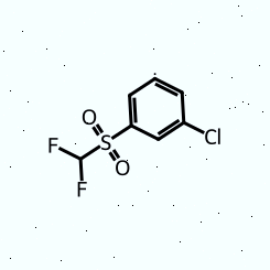 O=S(=O)(c1c[c]cc(Cl)c1)C(F)F